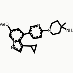 COc1cc(-c2ccc(N3CCC(C)(N)CC3)nc2)c2c(C3CC3)cnn2c1